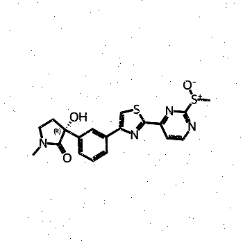 CN1CC[C@@](O)(c2cccc(-c3csc(-c4ccnc([S+](C)[O-])n4)n3)c2)C1=O